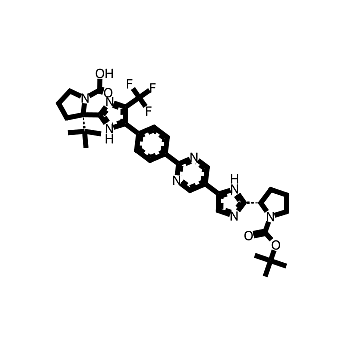 CC(C)(C)OC(=O)N1CCC[C@H]1c1ncc(-c2cnc(-c3ccc(-c4[nH]c([C@@]5(C(C)(C)C)CCCN5C(=O)O)nc4C(F)(F)F)cc3)nc2)[nH]1